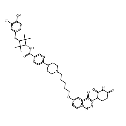 CC1(C)[C@H](NC(=O)c2ccc(N3CCN(CCCCCOc4ccc5nnn(C6CCC(=O)NC6=O)c(=O)c5c4)CC3)nc2)C(C)(C)[C@H]1Oc1ccc(C#N)c(Cl)c1